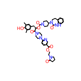 Cc1cc(C[C@@H](OC(=O)N2CCC(N3CCc4ccccc4NC3=O)CC2)C(=O)N2CCN(c3ccc(C(=O)OCCN4CCCC4=O)cn3)CC2)cc(C)c1O